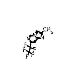 Cc1cn2cnc(C(F)(F)C(F)(F)F)cc2n1